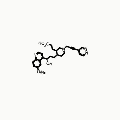 COc1ccc2nccc([C@@H](O)CCC3CCN(CC#Cc4ccnnc4)CC3CCC(=O)O)c2c1